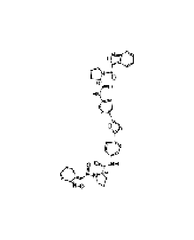 O=C(Nc1ccc(-c2cnc(-c3ccc(NC(=O)[C@@H]4CCCN4C(=O)c4onc5ccccc45)cc3)o2)cc1)[C@@H]1CCCN1C(=O)c1onc2ccccc12